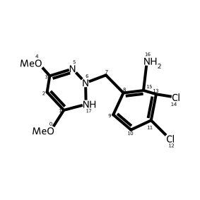 COC1=CC(OC)=NN(Cc2ccc(Cl)c(Cl)c2N)N1